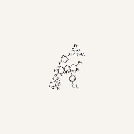 CCOP(=O)(COc1ccc(C[C@H](NC(=O)O[C@H]2CO[C@H]3OCC[C@H]32)[C@H](O)CN(CC(CC)CC)S(=O)(=O)c2ccc(C)cc2)cc1)OCC